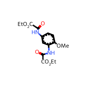 CCOC(=O)C(=O)Nc1ccc(OC)c(NC(=O)C(=O)OCC)c1